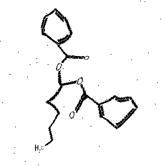 CCCCCC(OC(=O)c1ccccc1)OC(=O)c1ccccc1